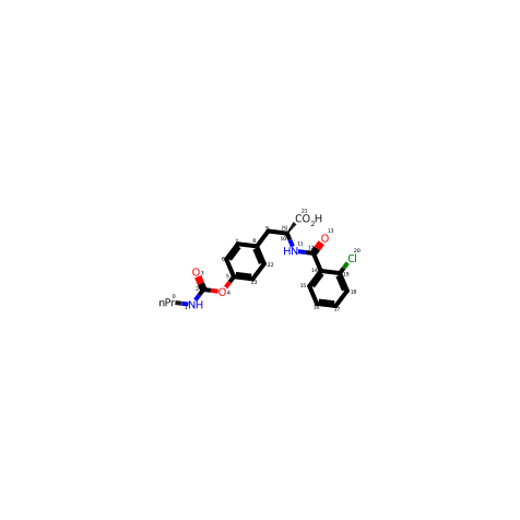 CCCNC(=O)Oc1ccc(C[C@H](NC(=O)c2ccccc2Cl)C(=O)O)cc1